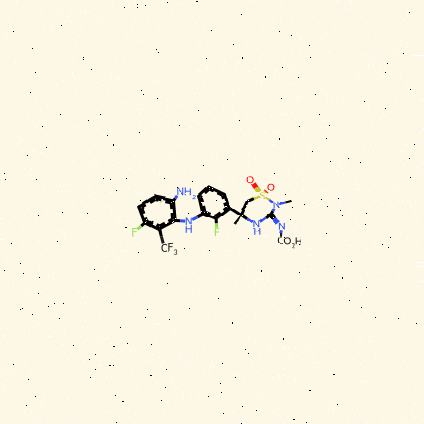 CN1/C(=N/C(=O)O)N[C@](C)(c2cccc(Nc3c(N)ccc(F)c3C(F)(F)F)c2F)CS1(=O)=O